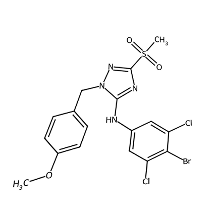 COc1ccc(Cn2nc(S(C)(=O)=O)nc2Nc2cc(Cl)c(Br)c(Cl)c2)cc1